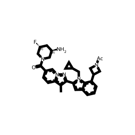 CC(=O)N1CC(c2cccc3cc(-c4nn5cc(C(=O)N6C[C@H](N)C[C@@H](F)C6)ccc5c4C)n(CC4CC4)c23)C1